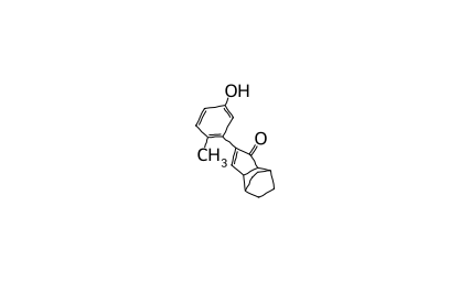 Cc1ccc(O)cc1C1=CC2C3CCC(CC3)C2C1=O